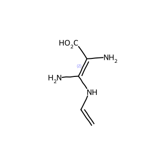 C=CN/C(N)=C(\N)C(=O)O